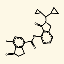 O=C(Nc1cccc2c1C(=O)N(C(C1CC1)C1CC1)C2)c1ccc(F)c2c1CCC2=O